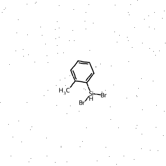 Cc1ccccc1[SiH](Br)Br